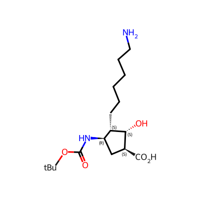 CC(C)(C)OC(=O)N[C@@H]1C[C@H](C(=O)O)[C@@H](O)[C@H]1CCCCCCN